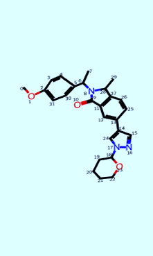 COc1ccc(C(C)N2C(=O)c3cc(-c4cnn(C5CCCCO5)c4)ccc3C2C)cc1